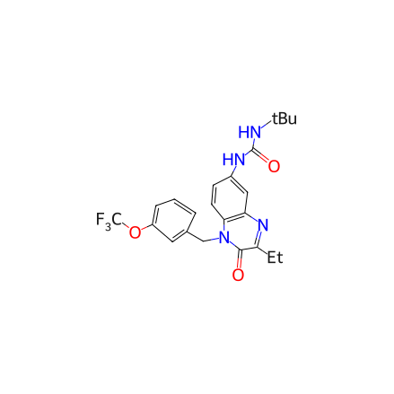 CCc1nc2cc(NC(=O)NC(C)(C)C)ccc2n(Cc2cccc(OC(F)(F)F)c2)c1=O